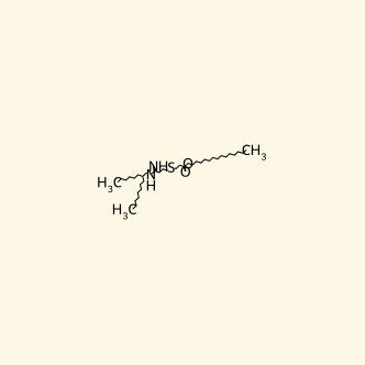 CCCCCCCCCCCCCCOC(=O)CCSCCCC(=N)NCC(CCCCCC)CCCCCCCC